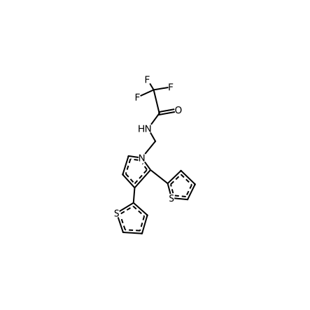 O=C(NCn1ccc(-c2cccs2)c1-c1cccs1)C(F)(F)F